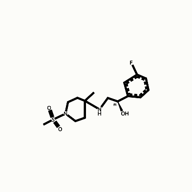 CC1(NC[C@H](O)c2cccc(F)c2)CCN(S(C)(=O)=O)CC1